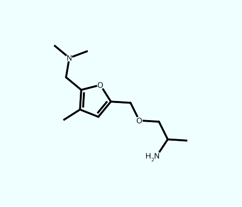 Cc1cc(COCC(C)N)oc1CN(C)C